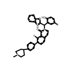 CN1CCC(c2ccc(-c3ccc4ccn(C(c5nc6ccccc6[nH]5)c5cc(F)ccc5O)c(=O)c4c3F)cc2)CC1